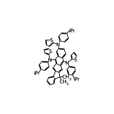 CC(C)c1ccc(N(c2ccc3c(N(c4ccc(C(C)C)cc4)c4cccs4)c4cc5c(cc4c(N(c4ccc(C(C)C)cc4)c4cccs4)c3c2)-c2ccccc2C5(C)C)c2cccs2)cc1